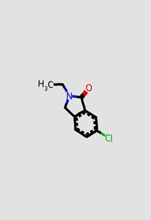 CCN1Cc2ccc(Cl)cc2C1=O